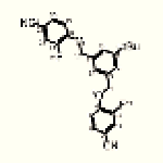 CC(C)(C)c1cc(COc2ccc(C#N)cc2F)cc(COc2ccc(C#N)cc2F)c1